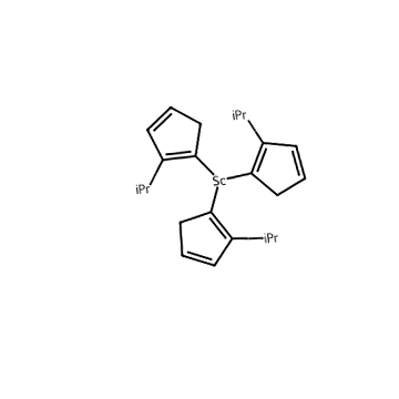 CC(C)C1=[C]([Sc]([C]2=C(C(C)C)C=CC2)[C]2=C(C(C)C)C=CC2)CC=C1